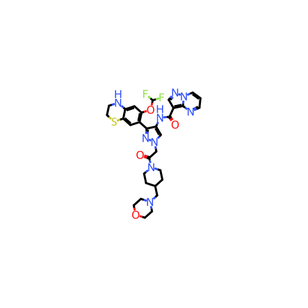 O=C(Nc1cn(CC(=O)N2CCC(CN3CCOCC3)CC2)nc1-c1cc2c(cc1OC(F)F)NCCS2)c1cnn2cccnc12